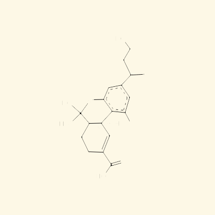 CCCC(C)c1cc(O)c2c(c1)OC(C)(C)C1CCC(C(=O)O)=C[C@H]21